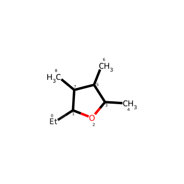 CCC1OC(C)C(C)C1C